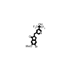 COc1cc2c(cc1Br)CC(Cc1cncc(C(O)(C(F)(F)F)C(F)(F)F)c1)C2=O